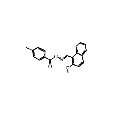 COc1ccc2ccccc2c1/C=N/OC(=O)c1ccc(C)cc1